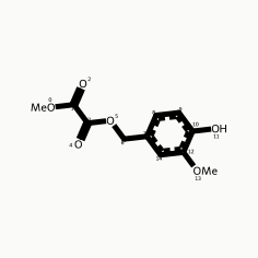 COC(=O)C(=O)OCc1ccc(O)c(OC)c1